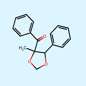 CC1(C(=O)c2ccccc2)OCOC1c1ccccc1